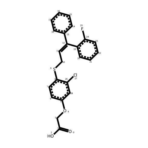 O=C(O)COc1ccc(SCC=C(c2ccccc2)c2ccccc2F)c(Cl)c1